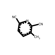 Cc1ccc(C#N)nc1C#N